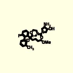 COCCCC[C@](O)(c1cccc(F)c1-c1cccc(C)c1)[C@H]1CN(C(=O)N2C[C@@H](N)[C@@H](O)C2)CCO1